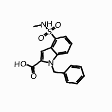 CNS(=O)(=O)c1cccc2c1cc(C(=O)O)n2Cc1ccccc1